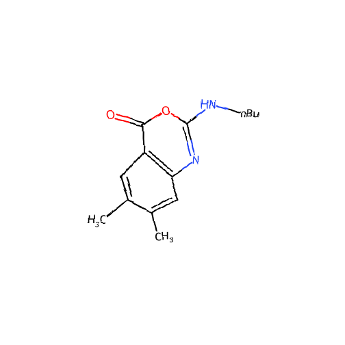 CCCCNc1nc2cc(C)c(C)cc2c(=O)o1